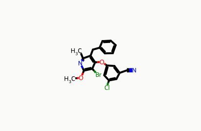 COc1nc(C)c(Cc2ccccc2)c(Oc2cc(Cl)cc(C#N)c2)c1Br